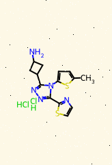 Cc1ccc(-n2c(-c3nccs3)nnc2C2CC(N)C2)s1.Cl.Cl